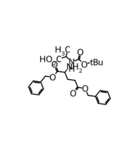 CC(NC(=O)OC(C)(C)C)C(=O)O.NC(CCC(=O)OCc1ccccc1)C(=O)OCc1ccccc1